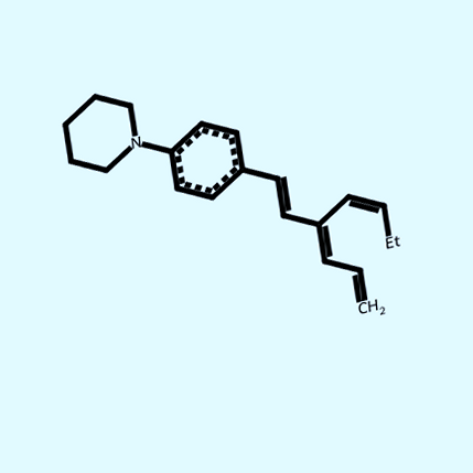 C=C/C=C(\C=C/CC)/C=C/c1ccc(N2CCCCC2)cc1